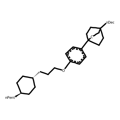 CCCCCCCCCCC12CCC(c3ccc(OCCC[C@H]4CC[C@H](CCCCC)CC4)cc3)(CC1)CC2